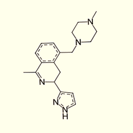 CC1=NC(c2cc[nH]n2)Cc2c(CN3CCN(C)CC3)cccc21